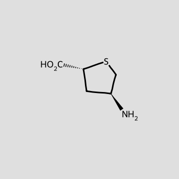 N[C@@H]1CS[C@@H](C(=O)O)C1